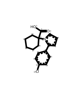 O=C(O)C1(n2cccc2-c2ccc(Cl)cc2)CCCCC1